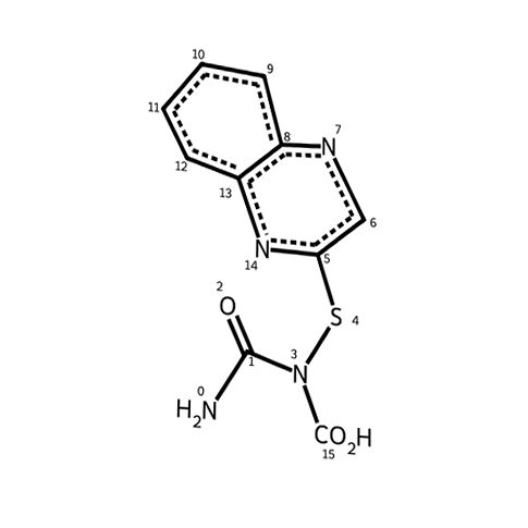 NC(=O)N(Sc1cnc2ccccc2n1)C(=O)O